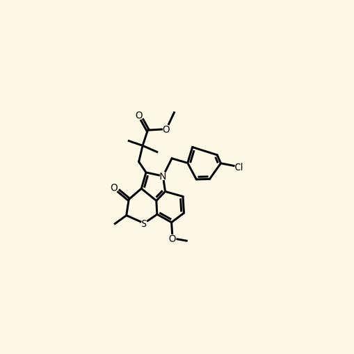 COC(=O)C(C)(C)Cc1c2c3c(c(OC)ccc3n1Cc1ccc(Cl)cc1)SC(C)C2=O